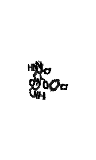 Cn1[nH]c2cc(=O)n(CC3=CC=CCN3)c(COc3ccc(Cl)cc3)c2c1=O